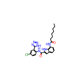 CCCCCCCC(=O)Nc1cccc2cc(C(=O)Nc3ccc(Cl)cc3-c3nnn[nH]3)[nH]c12